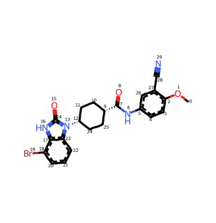 COc1ccc(NC(=O)[C@H]2CC[C@@H](n3c(=O)[nH]c4c(Br)cccc43)CC2)cc1C#N